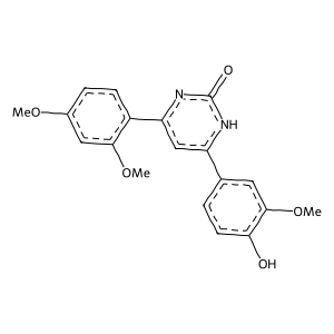 COc1ccc(-c2cc(-c3ccc(O)c(OC)c3)[nH]c(=O)n2)c(OC)c1